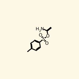 C=C(N)OS(=O)(=O)c1ccc(C)cc1